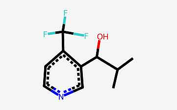 CC(C)C(O)c1cnccc1C(F)(F)F